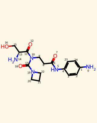 Nc1ccc(NC(=O)CCN(C(=O)[C@@H](N)CO)C(=O)N2CCC2)cc1